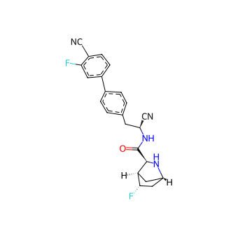 N#Cc1ccc(-c2ccc(C[C@@H](C#N)NC(=O)[C@H]3N[C@H]4C[C@H]3[C@@H](F)C4)cc2)cc1F